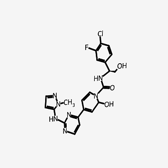 Cn1nccc1Nc1nccc(C2=CC(O)N(C(=O)N[C@H](CO)c3ccc(Cl)c(F)c3)C=C2)n1